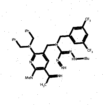 CNc1nc(N(CC(C)C)CC(C)C)c(CN(Cc2cc(C(F)(F)F)cc(C(F)(F)F)c2)/C(N=N)=N/NC(C)(C)C)cc1C(C)=N